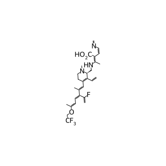 C=CC1=C(/C=C(C)/C(=C/C=C(\C)OCC(F)(F)F)C(=C)F)CCN(C)[C@H]1CN/C(C)=C(/C=C\N=C)C(=O)O